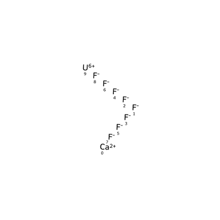 [Ca+2].[F-].[F-].[F-].[F-].[F-].[F-].[F-].[F-].[U+6]